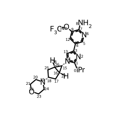 CC(C)c1nc(-c2cnc(N)c(OC(F)(F)F)c2)cn1[C@@H]1[C@@H]2C[C@H](N3CCOCC3)C[C@@H]21